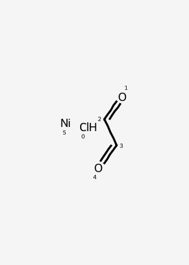 Cl.O=CC=O.[Ni]